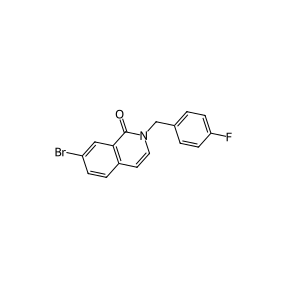 O=c1c2cc(Br)ccc2ccn1Cc1ccc(F)cc1